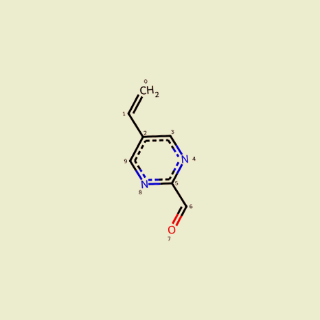 C=Cc1cnc(C=O)nc1